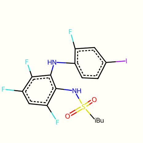 CCC(C)S(=O)(=O)Nc1c(F)cc(F)c(F)c1Nc1ccc(I)cc1F